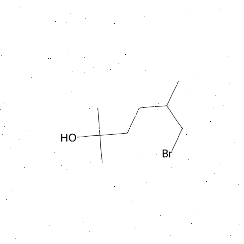 CC(CBr)CCC(C)(C)O